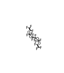 FC(F)=C(F)OC(F)(F)OC(F)(F)C(F)(F)OC(F)(F)OC(F)=C(F)F